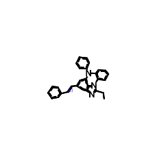 CCc1nc2cc(/C=C/c3ccccc3)cc3c2n1-c1ccccc1N3c1ccccc1